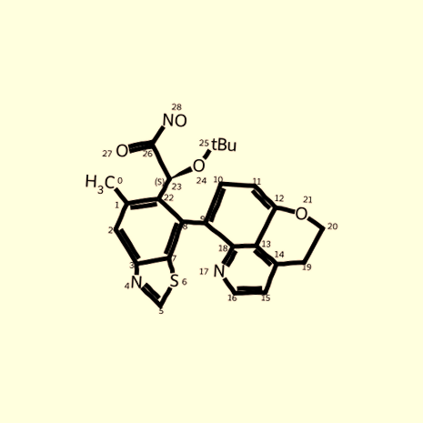 Cc1cc2ncsc2c(-c2ccc3c4c(ccnc24)CCO3)c1[C@H](OC(C)(C)C)C(=O)N=O